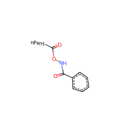 CCCCCC(=O)ONC(=O)c1ccccc1